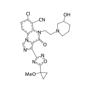 COC1(c2nc(-c3ncn4c3c(=O)n(CCN3CCCC(O)C3)c3c(C#N)c(Cl)ccc34)no2)CC1